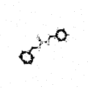 O=[N+](OCc1ccccc1)OCc1ccccc1